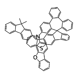 CC1(C)c2ccccc2-c2ccc(N(c3ccc4c(c3)C3(c5ccccc5-c5ccccc5-4)c4ccccc4-c4cc5sc6ccccc6c5cc43)c3ccc4c(c3)oc3ccccc34)cc21